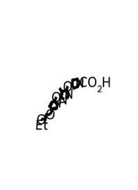 CCOCCOc1ccc(Oc2ncnc(OC3CCN(C(=O)O)CC3)c2C)c(F)c1